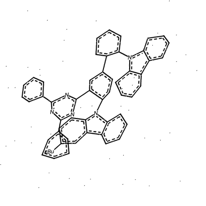 CC(C)(C)c1ccc2c(c1)c1ccccc1n2-c1ccc(-c2ccccc2-n2c3ccccc3c3ccccc32)cc1-c1nc(-c2ccccc2)nc(-c2ccccc2)n1